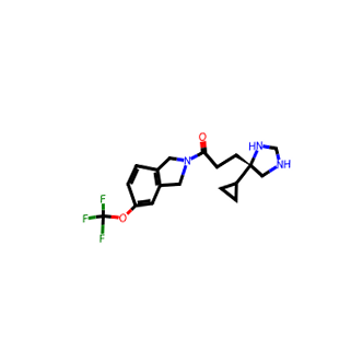 O=C(CC[C@]1(C2CC2)CNCN1)N1Cc2ccc(OC(F)(F)F)cc2C1